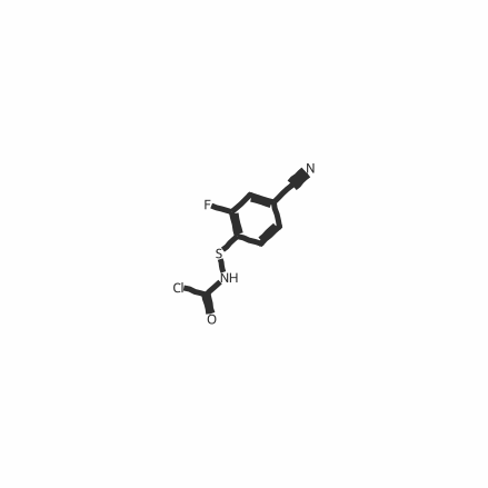 N#Cc1ccc(SNC(=O)Cl)c(F)c1